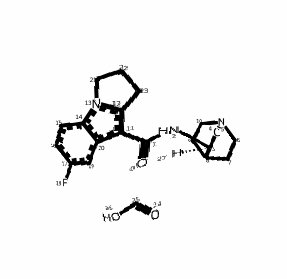 O=C(N[C@H]1CN2CCC1CC2)c1c2n(c3ccc(F)cc13)CCC2.O=CO